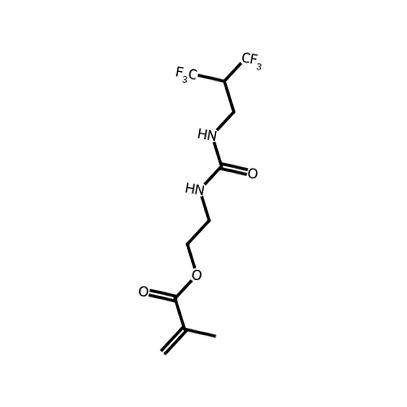 C=C(C)C(=O)OCCNC(=O)NCC(C(F)(F)F)C(F)(F)F